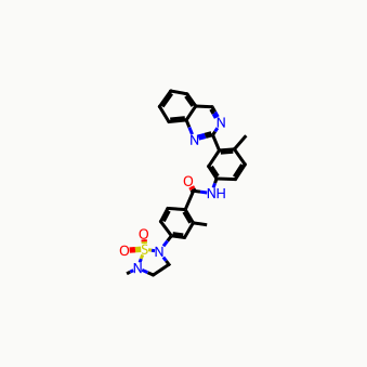 Cc1cc(N2CCN(C)S2(=O)=O)ccc1C(=O)Nc1ccc(C)c(-c2ncc3ccccc3n2)c1